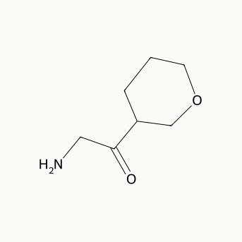 NCC(=O)C1CCCOC1